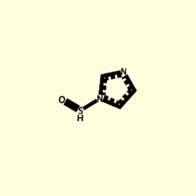 O=[SH]n1ccnc1